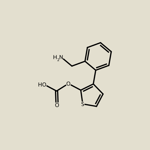 NCc1ccccc1-c1ccsc1OC(=O)O